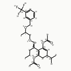 CCC/C(=N\OCC(C)OCc1cccc(C(F)(F)F)c1)C1=C(OC(C)=O)CC(C(C)C)C=C1OC(C)=O